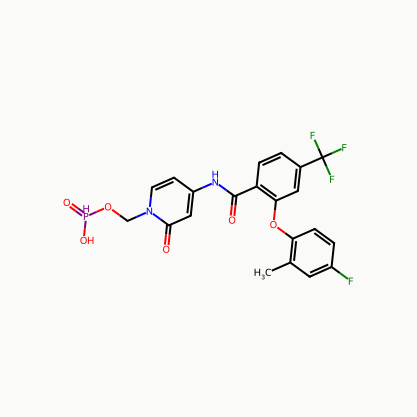 Cc1cc(F)ccc1Oc1cc(C(F)(F)F)ccc1C(=O)Nc1ccn(CO[PH](=O)O)c(=O)c1